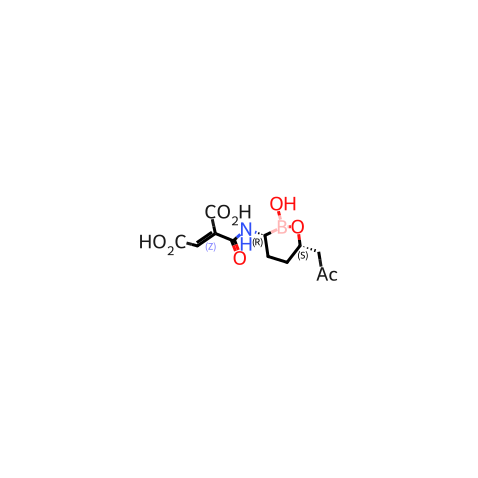 CC(=O)C[C@@H]1CC[C@H](NC(=O)/C(=C/C(=O)O)C(=O)O)B(O)O1